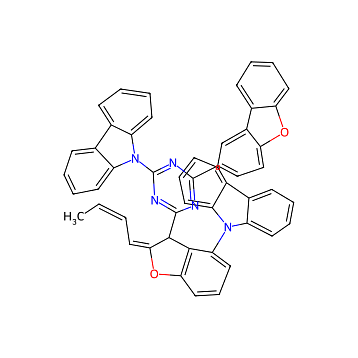 C/C=C\C=C1\Oc2cccc(-n3c4ccccc4c4ccccc43)c2C1c1nc(-c2ccc3oc4ccccc4c3c2)nc(-n2c3ccccc3c3ccccc32)n1